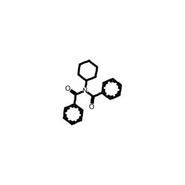 O=C(c1ccccc1)N(C(=O)c1ccccc1)C1CCCCC1